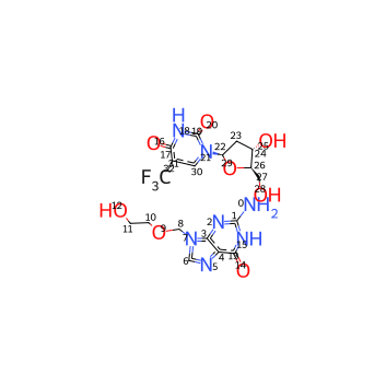 Nc1nc2c(ncn2COCCO)c(=O)[nH]1.O=c1[nH]c(=O)n([C@H]2C[C@H](O)[C@@H](CO)O2)cc1C(F)(F)F